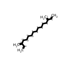 C=CC(=C)CCCCCCCCCCC(=C)C=C